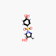 C[C@@H]1CN(S(=O)(=O)c2ccc(O)cc2)C[C@@H]1O